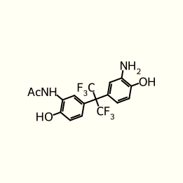 CC(=O)Nc1cc(C(c2ccc(O)c(N)c2)(C(F)(F)F)C(F)(F)F)ccc1O